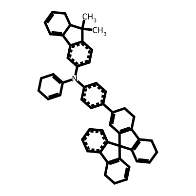 CC1(C)c2ccc(N(C3=CCCC=C3)c3ccc(C4=CC5=C(CC4)C4=C(C=CCC4)C54C5=C(CCC=C5)c5ccccc54)cc3)cc2C2=CC=CCC21